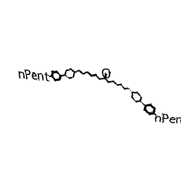 CCCCCc1ccc(C2CCC(CCCCCCC(=O)CCCCCC[C@H]3CC[C@H](c4ccc(CCCCC)cc4)CC3)CC2)cc1